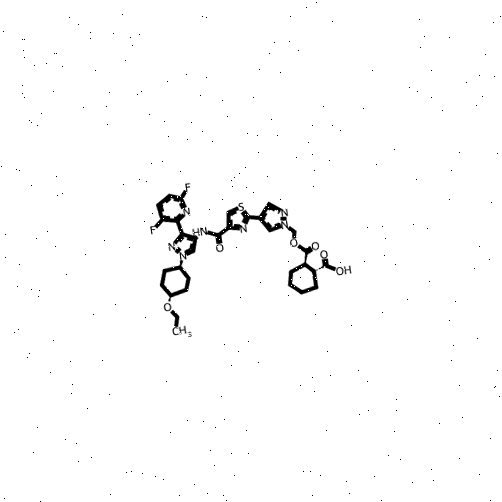 CCO[C@H]1CC[C@H](n2cc(NC(=O)c3csc(-c4cnn(COC(=O)[C@@H]5CCCC[C@H]5C(=O)O)c4)n3)c(-c3nc(F)ccc3F)n2)CC1